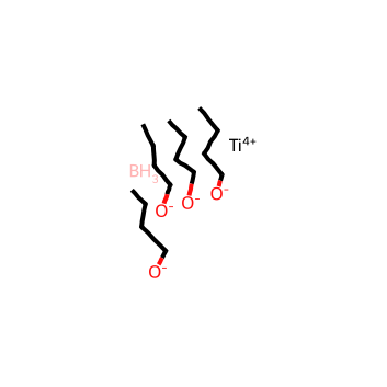 B.CCCC[O-].CCCC[O-].CCCC[O-].CCCC[O-].[Ti+4]